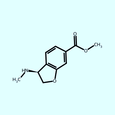 CN[C@@H]1COc2cc(C(=O)OC)ccc21